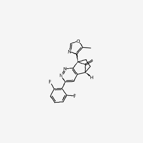 C=C1[C@@H]2CC[C@@]1(c1ncoc1C)c1nnc(-c3c(F)cccc3F)cc12